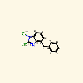 Clc1nc2c(Cc3ccccc3)[c]ccc2n1Cl